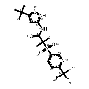 CC(C)(C)c1cc(NC(=O)C(C)(C)S(=O)(=O)c2ccc(C(F)(F)F)nc2)[nH]n1